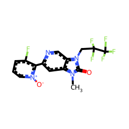 Cn1c(=O)n(CC(F)(F)C(F)(F)F)c2cnc(-c3c(F)ccc[n+]3[O-])cc21